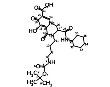 CC(C)(C)OC(=O)NCCCCN1C(=O)c2c(O)c(=O)c(C(=O)O)cn2CC1C(=O)NC1CCCCC1